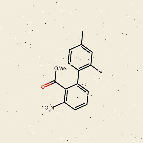 COC(=O)c1c(-c2ccc(C)cc2C)cccc1[N+](=O)[O-]